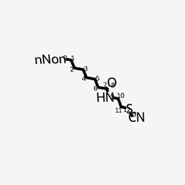 CCCCCCCCCCCCCCCC(=O)NCCSC#N